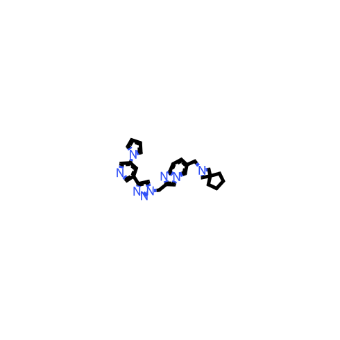 c1ccn(-c2cncc(-c3cn(Cc4cn5cc(CN6CC7(CCCC7)C6)ccc5n4)nn3)c2)c1